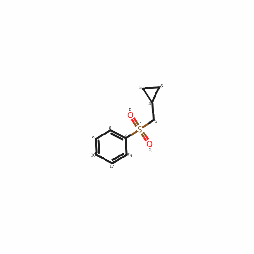 O=S(=O)(CC1CC1)c1c[c]ccc1